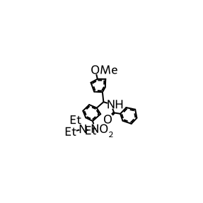 CCN(CC)CC.COc1ccc(C(NC(=O)c2ccccc2)c2cccc([N+](=O)[O-])c2)cc1